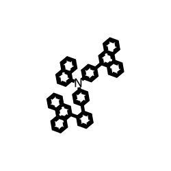 c1ccc(-c2cc3ccccc3c3ccccc23)c(-c2ccc(N(c3ccc(-c4cc5ccccc5c5ccccc45)cc3)c3cccc4ccccc34)cc2)c1